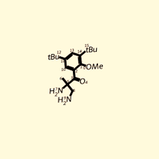 COc1c(C(=O)C(C)(N)CN)cc(C(C)(C)C)cc1C(C)(C)C